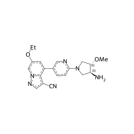 CCOc1cc(-c2ccc(N3C[C@H](OC)[C@@H](N)C3)nc2)c2c(C#N)cnn2c1